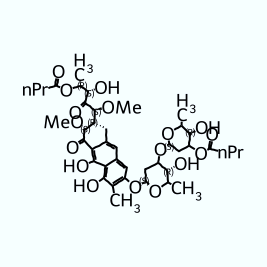 CCCC(=O)OC1C[C@H](OC2C[C@H](Oc3cc4cc5c(c(O)c4c(O)c3C)C(=O)[C@@H](OC)[C@H]([C@H](OC)C(=O)[C@@H](O)[C@@H](C)OC(=O)CCC)C5)OC(C)[C@H]2O)OC(C)[C@H]1O